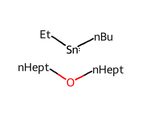 CCCCCCCOCCCCCCC.CCC[CH2][Sn][CH2]C